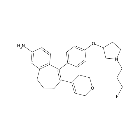 Nc1ccc2c(c1)CCCC(C1=CCOCC1)=C2c1ccc(OC2CCN(CCCF)C2)cc1